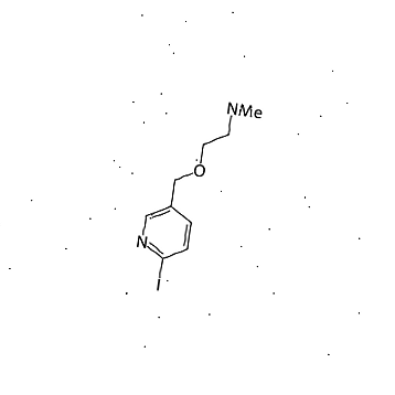 CNCCOCc1ccc(I)nc1